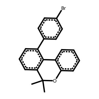 CC1(C)Oc2ccccc2-c2c(-c3ccc(Br)cc3)cccc21